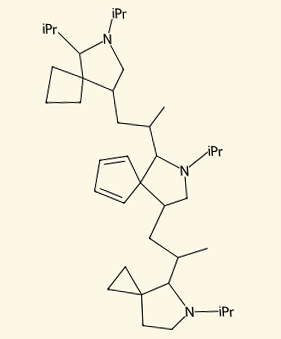 CC(C)C1N(C(C)C)CC(CC(C)C2N(C(C)C)CC(CC(C)C3N(C(C)C)CCC34CC4)C23C=CC=C3)C12CCC2